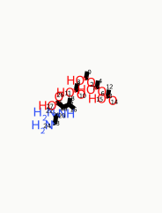 CC(=O)O.CC(=O)O.CC(=O)O.CC(=O)O.CC(C)[C@H](NC(N)CN)C(=O)O